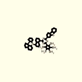 Bc1c(B)c(B)c(-c2nc(-c3ccc4c(c3)sc3ccccc34)nc(-c3cccc4c(N5c6ccccc6-c6cccc7cccc5c67)cccc34)n2)c(B)c1B